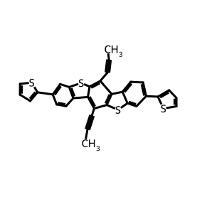 CC#Cc1c2sc3cc(-c4cccs4)ccc3c2c(C#CC)c2sc3cc(-c4cccs4)ccc3c12